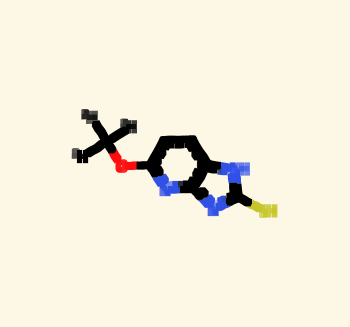 [2H]C([2H])([2H])Oc1ccc2[nH]c(S)nc2n1